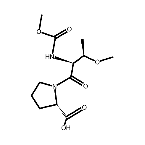 COC(=O)N[C@H](C(=O)N1CCC[C@H]1C(=O)O)[C@@H](C)OC